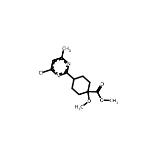 COC(=O)C1(OC)CCC(c2nc(C)cc(Cl)n2)CC1